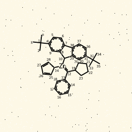 CC(C)(C)c1ccc2c(c1)[CH]([Zr](=[C](c1ccccc1)C1CCCC1)[CH]1C=CC=C1)c1cc(C(C)(C)C)ccc1-2